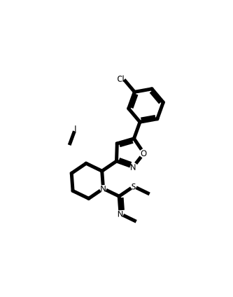 C/N=C(\SC)N1CCCCC1c1cc(-c2cccc(Cl)c2)on1.CI